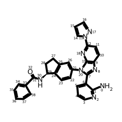 Nc1ncccc1-c1nc2ccc(-n3cccn3)nc2n1-c1ccc2c(c1)CC[C@@H]2NC(=O)c1ccccc1